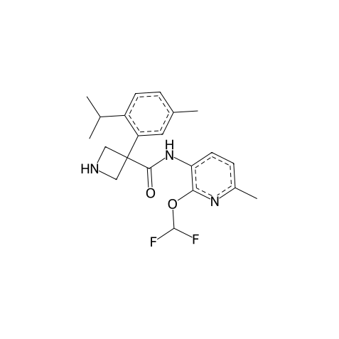 Cc1ccc(C(C)C)c(C2(C(=O)Nc3ccc(C)nc3OC(F)F)CNC2)c1